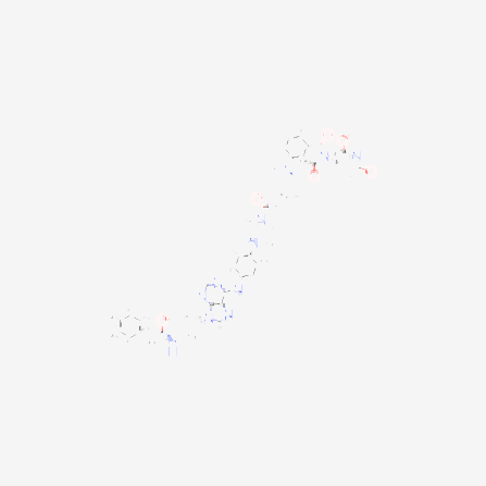 O=C1CC[C@H](N2C(=O)c3cccc(N4CCC(CC(=O)N5CCN(c6ccc(Nc7ncnc8c7ncn8C7CC(NC(=O)Cc8ccccc8)C7)cc6)CC5)CC4)c3C2=O)C(=O)N1